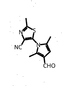 Cc1nc(C#N)c(-n2c(C)cc(C=O)c2C)s1